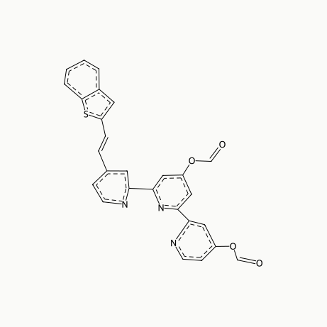 O=COc1ccnc(-c2cc(OC=O)cc(-c3cc(/C=C/c4cc5ccccc5s4)ccn3)n2)c1